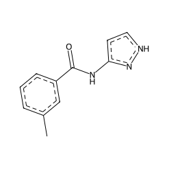 Cc1cccc(C(=O)Nc2cc[nH]n2)c1